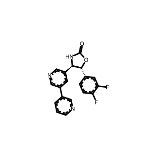 O=C1N[C@H](c2cncc(-c3cccnc3)c2)[C@@H](c2ccc(F)c(F)c2)O1